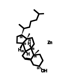 CC(C)CCCC(C)[C@H]1CC[C@H]2[C@@H]3CC=C4C[C@@H](O)CC[C@]4(C)[C@H]3CC[C@]12C.[Zn]